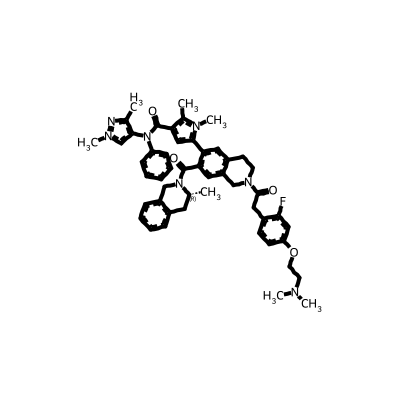 Cc1nn(C)cc1N(C(=O)c1cc(-c2cc3c(cc2C(=O)N2Cc4ccccc4C[C@H]2C)CN(C(=O)Cc2ccc(OCCN(C)C)cc2F)CC3)n(C)c1C)c1ccccc1